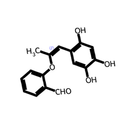 C/C(=C/c1cc(O)c(O)cc1O)Oc1ccccc1C=O